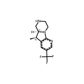 C[C@@H]1c2cc(C(F)(F)F)cnc2N2CCNC[C@H]12